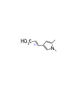 Cc1cc(/C=C/C(=O)O)cn1C